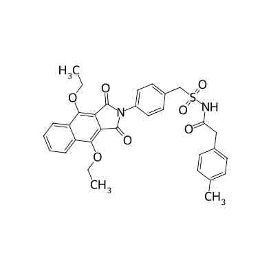 CCOc1c2c(c(OCC)c3ccccc13)C(=O)N(c1ccc(CS(=O)(=O)NC(=O)Cc3ccc(C)cc3)cc1)C2=O